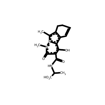 Cc1c2c(c3c(O)c(C(=O)NC(C)C(=O)O)c(=O)n(C)n13)C=CCC2